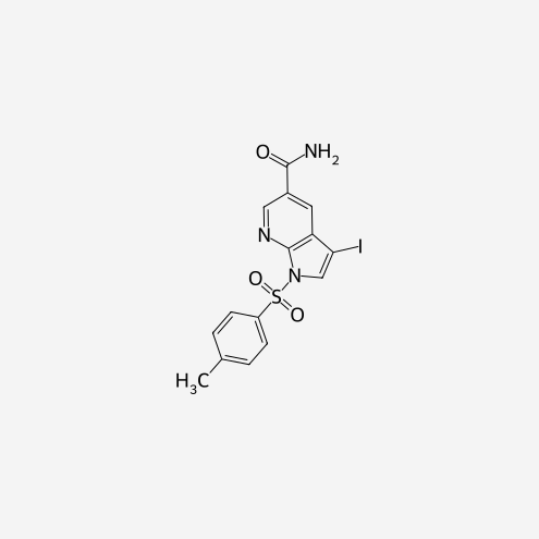 Cc1ccc(S(=O)(=O)n2cc(I)c3cc(C(N)=O)cnc32)cc1